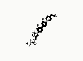 CC(=O)NCC1CN(c2ccc(-c3ccc(N4CCC(CC#N)CC4)c(F)c3)c(F)c2)C(=O)O1